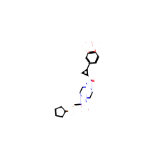 O=C(CSC1CCCC1)N1CCN(C(=O)[C@H]2CC2c2ccc3c(c2)OCO3)CC1